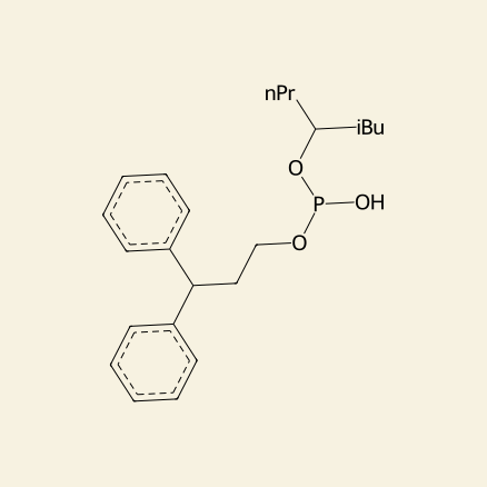 CCCC(OP(O)OCCC(c1ccccc1)c1ccccc1)C(C)CC